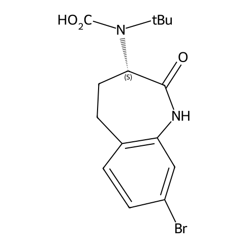 CC(C)(C)N(C(=O)O)[C@H]1CCc2ccc(Br)cc2NC1=O